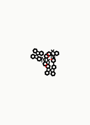 CC1(C)c2ccccc2N(c2ccc(-c3ccc4c(c3)C3(c5ccccc5-c5ccc(CC6(C)c7ccccc7N(c7ccc8c(c7)C7(c9ccccc9-c9ccccc97)c7ccccc7-8)c7ccccc76)cc53)c3ccccc3-4)cc2)c2ccccc21